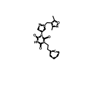 Cc1noc(C)c1Cn1cc(-n2c(=O)[nH]c(=O)n(CCc3ccccc3)c2=O)cn1